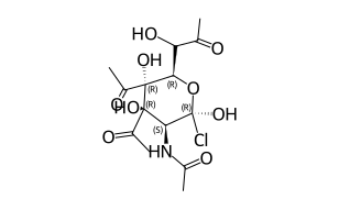 CC(=O)N[C@H]1[C@](O)(C(C)=O)[C@@](O)(C(C)=O)[C@@H](C(O)C(C)=O)O[C@@]1(O)Cl